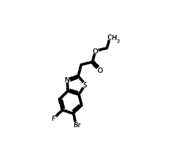 CCOC(=O)Cc1nc2cc(F)c(Br)cc2s1